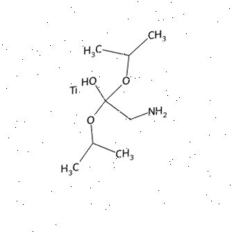 CC(C)OC(O)(CN)OC(C)C.[Ti]